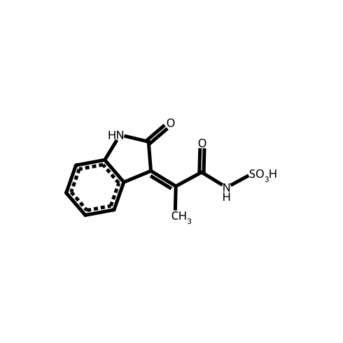 C/C(C(=O)NS(=O)(=O)O)=C1/C(=O)Nc2ccccc21